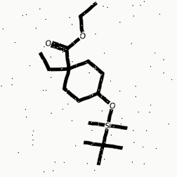 CCOC(=O)C1(CC)CCC(O[Si](C)(C)C(C)(C)C)CC1